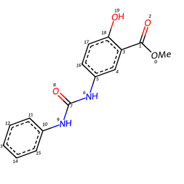 COC(=O)c1cc(NC(=O)Nc2ccccc2)ccc1O